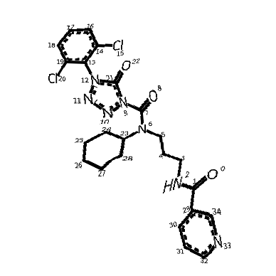 O=C(NCCCN(C(=O)n1nnn(-c2c(Cl)cccc2Cl)c1=O)C1CCCCC1)c1cccnc1